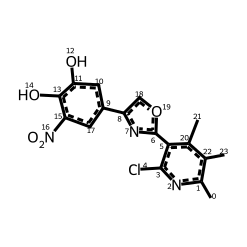 Cc1nc(Cl)c(-c2nc(-c3cc(O)c(O)c([N+](=O)[O-])c3)co2)c(C)c1C